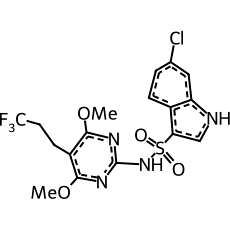 COc1nc(NS(=O)(=O)c2c[nH]c3cc(Cl)ccc23)nc(OC)c1CCC(F)(F)F